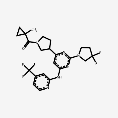 CC1(C(=O)N2CCC(c3cc(Nc4cc(C(F)(F)F)ccn4)nc(N4CCC(F)(F)C4)n3)C2)CC1